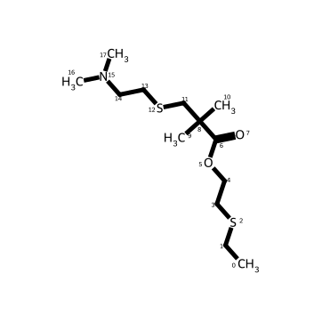 CCSCCOC(=O)C(C)(C)CSCCN(C)C